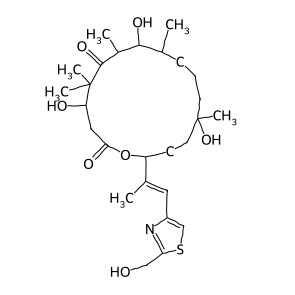 C/C(=C\c1csc(CO)n1)C1CCC(C)(O)CCCC(C)C(O)C(C)C(=O)C(C)(C)C(O)CC(=O)O1